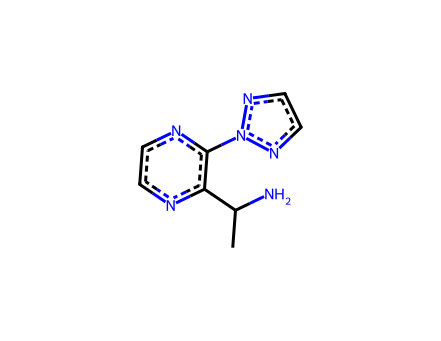 CC(N)c1nccnc1-n1nccn1